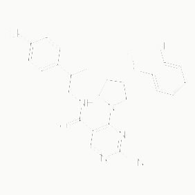 CC(CNC(=O)c1cnc(C#N)nc1N1CC[C@H]([S+]([O-])c2ccccc2C(F)(F)F)C1)c1ccc(Cl)cc1